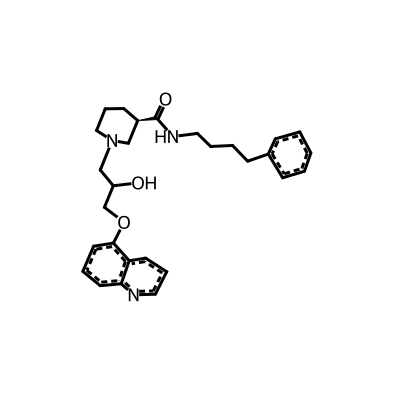 O=C(NCCCCc1ccccc1)[C@@H]1CCCN(CC(O)COc2cccc3ncccc23)C1